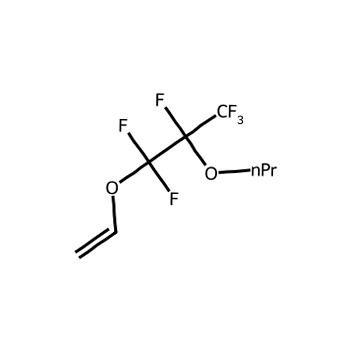 C=COC(F)(F)C(F)(OCCC)C(F)(F)F